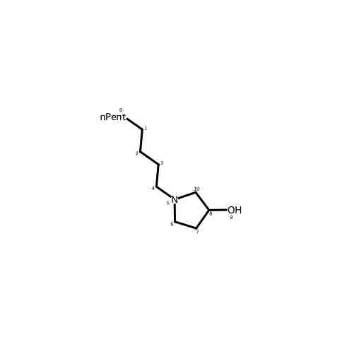 CCCCCCCCCN1CCC(O)C1